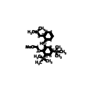 COCOc1c(Pc2ccccc2CN(C)C)cc([Si](C)(C)C)cc1[Si](C)(C)C